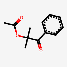 CC(=O)OC(C)(C)C(=O)c1ccccc1